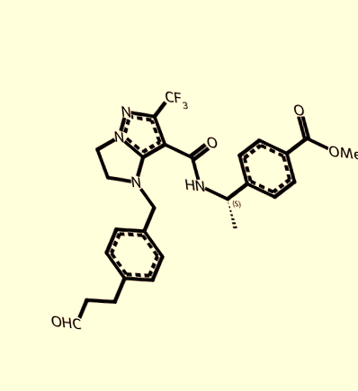 COC(=O)c1ccc([C@H](C)NC(=O)c2c(C(F)(F)F)nn3c2N(Cc2ccc(CCC=O)cc2)CC3)cc1